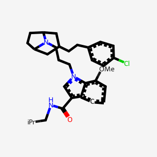 COc1cccc2c(C(=O)NCC(C)C)cn(CCCN3C4CCC3CC(CCc3ccc(Cl)cc3)C4)c12